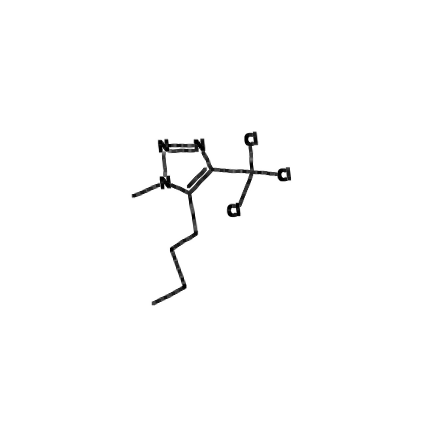 CCCCc1c(C(Cl)(Cl)Cl)nnn1C